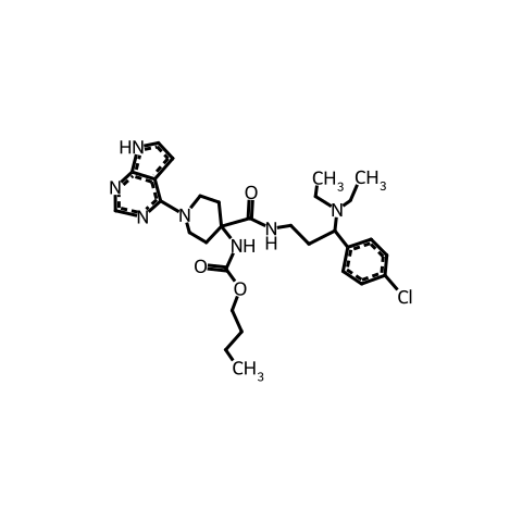 CCCCOC(=O)NC1(C(=O)NCCC(c2ccc(Cl)cc2)N(CC)CC)CCN(c2ncnc3[nH]ccc23)CC1